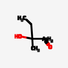 CCC(C)(O)[AsH2]=O